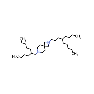 CCCCCC(CCCC)CCCN1CC2(CCN(CC(CCCC)CCCCC)CC2)C1